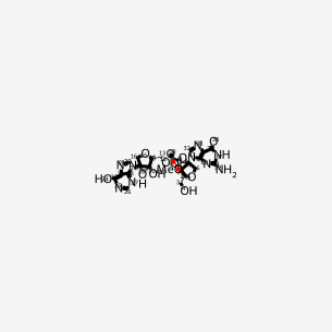 CO[C@@H]1[C@@H](CO)OC[C@@]1(OP(=O)(O)OC[C@H]1OC[C@](O)(n2cnc3c(O)ncnc32)[C@@H]1O)n1cnc2c(=O)[nH]c(N)nc21